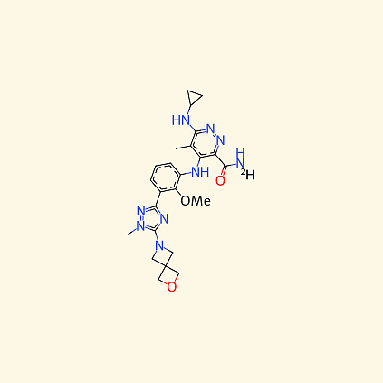 [2H]NC(=O)c1nnc(NC2CC2)c(C)c1Nc1cccc(-c2nc(N3CC4(COC4)C3)n(C)n2)c1OC